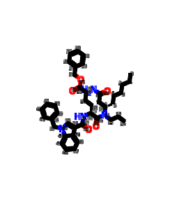 CCCCCC[C@@H](CC(N)=O)N(CCC)C(=O)[C@H](CCCC(=O)OCc1ccccc1)NC(=O)c1cn(Cc2ccccc2)c2ccccc12